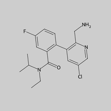 CCN(C(=O)c1cc(F)ccc1-c1cc(Cl)cnc1CN)C(C)C